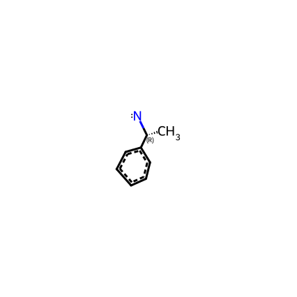 C[C@@H]([N])c1ccccc1